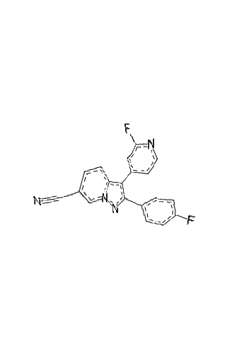 N#Cc1ccc2c(-c3ccnc(F)c3)c(-c3ccc(F)cc3)nn2c1